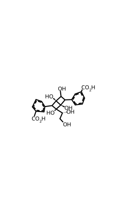 O=C(O)c1cccc(C2C(O)[C@@]3(O)C(c4cccc(C(=O)O)c4)[C@@](O)([C@H](O)CO)[C@@]23O)c1